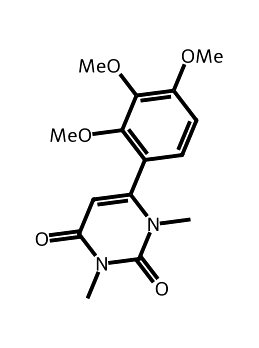 COc1ccc(-c2cc(=O)n(C)c(=O)n2C)c(OC)c1OC